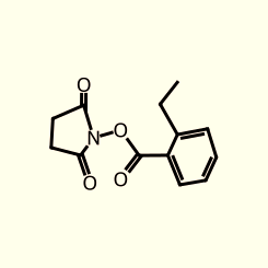 CCc1ccccc1C(=O)ON1C(=O)CCC1=O